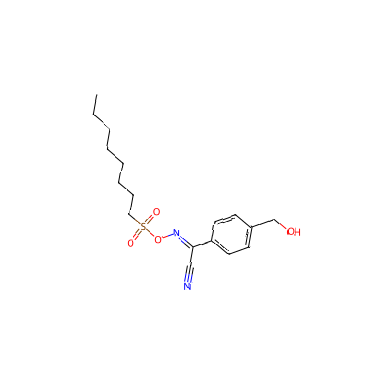 CCCCCCCCS(=O)(=O)O/N=C(\C#N)c1ccc(CO)cc1